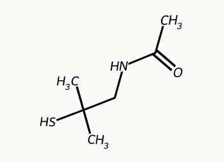 CC(=O)NCC(C)(C)S